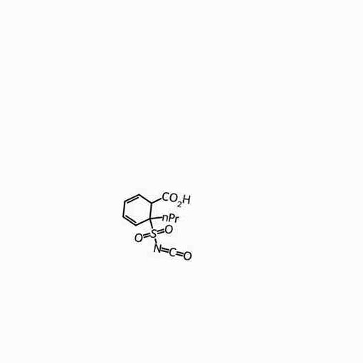 CCCC1(S(=O)(=O)N=C=O)C=CC=CC1C(=O)O